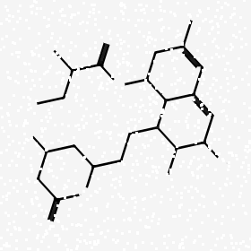 CCC(C)C(=O)OC1CC(C)=CC2=CC(O)C(C)C(CCC3CC(O)CC(=O)O3)C21